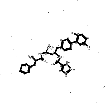 NC(Cc1ccccc1)C(=O)N[C@H](C[C@@H](Cc1ccc(-c2cc(Cl)ccc2F)cc1)NC(=O)c1cnn[nH]1)C(=O)O